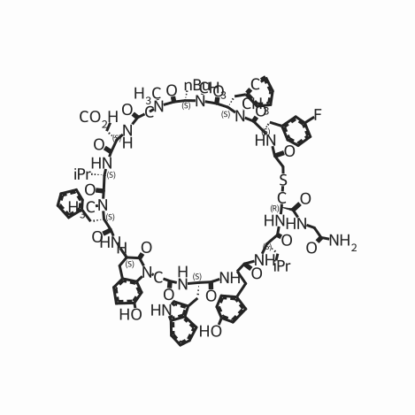 CCCC[C@H]1C(=O)N(C)CC(=O)N[C@@H](CC(=O)O)C(=O)N[C@@H](C(C)C)C(=O)N(C)[C@@H](Cc2ccccc2)C(=O)N[C@H]2Cc3ccc(O)cc3N(CC(=O)N[C@@H](Cc3c[nH]c4ccccc34)C(=O)NC(Cc3ccc(O)cc3)C(=O)N[C@@H](CC(C)C)C(=O)N[C@H](C(=O)NCC(N)=O)CSCC(=O)N[C@@H](Cc3cccc(F)c3)C(=O)N(C)[C@@H](Cc3ccccc3)C(=O)N1C)C2=O